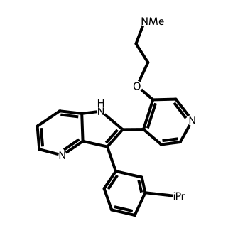 CNCCOc1cnccc1-c1[nH]c2cccnc2c1-c1cccc(C(C)C)c1